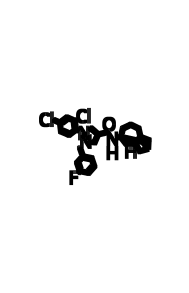 O=C(NC12CCCC3CC(C[C@H]3C1)C2)C1CN(Cc2cccc(F)c2)N(c2ccc(Cl)cc2Cl)C1